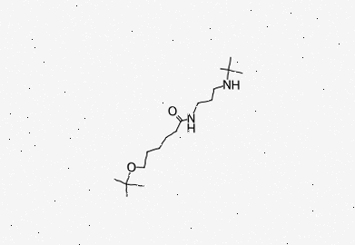 CC(C)(C)NCCCNC(=O)CCCCCOC(C)(C)C